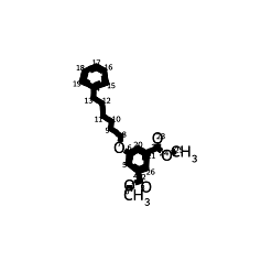 COC(=O)c1cc(OCCCCCCc2ccccc2)cc(C(=O)OC)c1